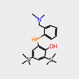 CN(C)Cc1ccccc1Pc1cc([Si](C)(C)C)cc([Si](C)(C)C)c1O